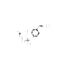 C=Cc1ccc(OC(C)(CC)N=[N+]=[N-])cc1